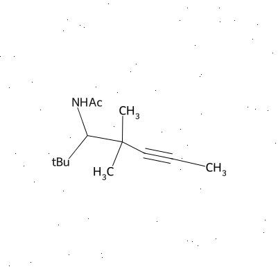 CC#CC(C)(C)C(NC(C)=O)C(C)(C)C